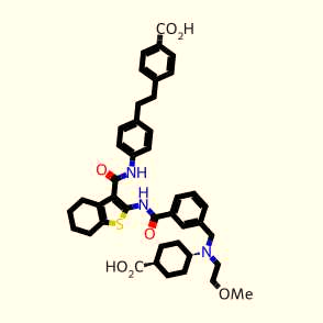 COCCN(Cc1cccc(C(=O)Nc2sc3c(c2C(=O)Nc2ccc(CCc4ccc(C(=O)O)cc4)cc2)CCCC3)c1)[C@H]1CC[C@H](C(=O)O)CC1